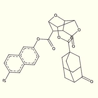 O=C1C2CC3CC1CC(C(=O)OC1C4OC(=O)C5C4OC1C5C(=O)Oc1ccc4cc(S)ccc4c1)(C3)C2